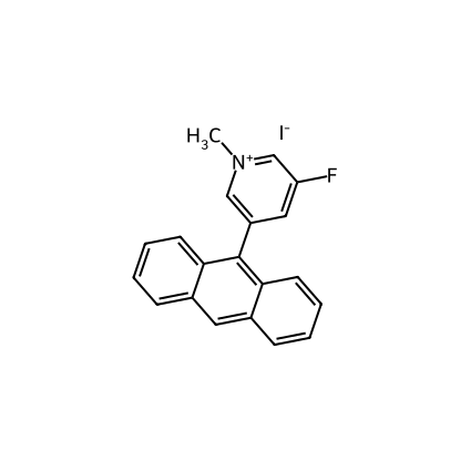 C[n+]1cc(F)cc(-c2c3ccccc3cc3ccccc23)c1.[I-]